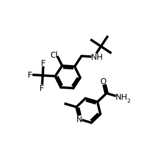 CC(C)(C)NCc1cccc(C(F)(F)F)c1Cl.Cc1cc(C(N)=O)ccn1